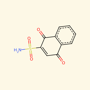 NS(=O)(=O)C1=CC(=O)c2ccccc2C1=O